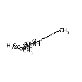 CCC=CCC=CCC=CCC=CCC=CCC=CCCC(=O)NCCCCC(NC(=O)[C@@H](C)c1ccc2cc(OC)ccc2c1)C(=O)O